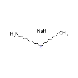 CCCCCCCC/C=C\CCCCCCCCN.[NaH]